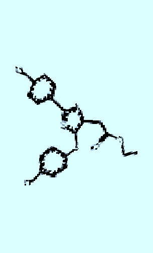 CCOC(=O)Cc1nc(-c2ccc(Cl)cc2)sc1Sc1ccc(Cl)cc1